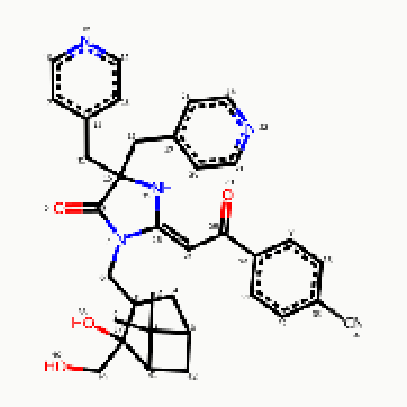 CC1(C)C2CC(CN3C(=O)C(Cc4ccncc4)(Cc4ccncc4)N/C3=C\C(=O)c3ccc(C#N)cc3)C(O)(CO)C1C2